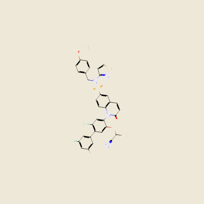 COc1ccc(CN(c2ccon2)S(=O)(=O)c2ccc3c(ccc(=O)n3-c3cc(F)c(-c4cc(F)cc(F)c4)cc3OC(C)C#N)c2)cc1